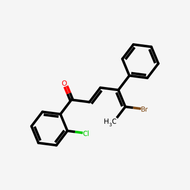 CC(Br)=C(C=CC(=O)c1ccccc1Cl)c1ccccc1